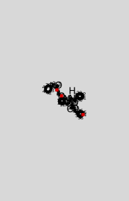 CN(C(=O)CCCOc1cccc2c1N=C(NC(=O)c1ccccc1)N(CC(=O)OCc1ccccc1)C2)C1CCCCC1